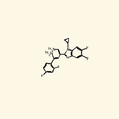 N/C=C(\C=C(/N)c1ccc(F)cc1F)c1nc2cc(F)c(F)cc2n1C1CC1